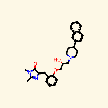 CC1=NC(=Cc2ccccc2OC[C@@H](O)CN2CCC(c3ccc4ccccc4c3)CC2)C(=O)N1C